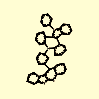 c1ccc(-n2c3c(c4ccccc42)-c2ccccc2N(c2cccc(-c4c5ccccc5nc5sc6ccccc6c45)c2)c2ccccc2-3)cc1